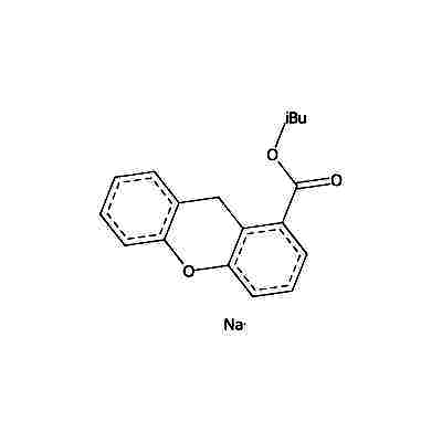 CCC(C)OC(=O)c1cccc2c1Cc1ccccc1O2.[Na]